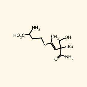 C/C(=C\C(CO)(C(N)=O)C(C)(C)C)SCCC(N)C(=O)O